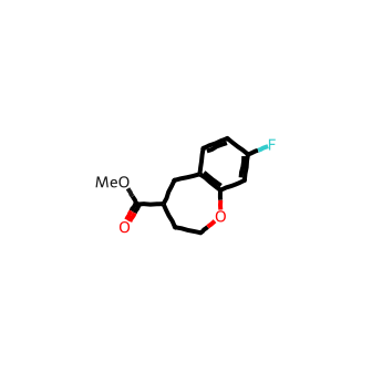 COC(=O)C1CCOc2cc(F)ccc2C1